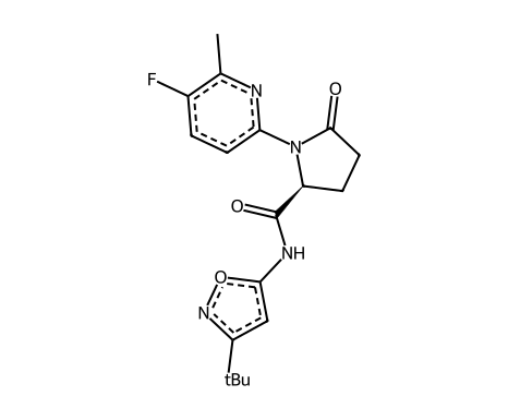 Cc1nc(N2C(=O)CC[C@H]2C(=O)Nc2cc(C(C)(C)C)no2)ccc1F